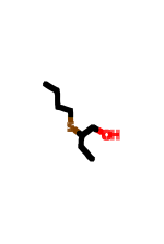 CCCCSC(CC)CO